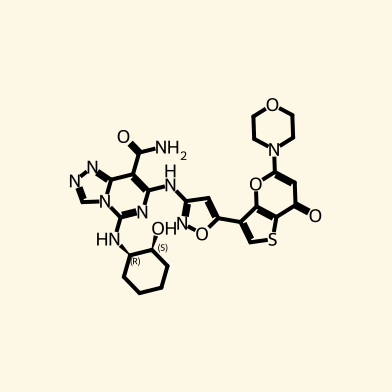 NC(=O)c1c(Nc2cc(-c3csc4c(=O)cc(N5CCOCC5)oc34)on2)nc(N[C@@H]2CCCC[C@@H]2O)n2cnnc12